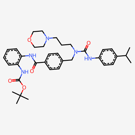 CC(C)c1ccc(NC(=O)N(CCCN2CCOCC2)Cc2ccc(C(=O)Nc3ccccc3NC(=O)OC(C)(C)C)cc2)cc1